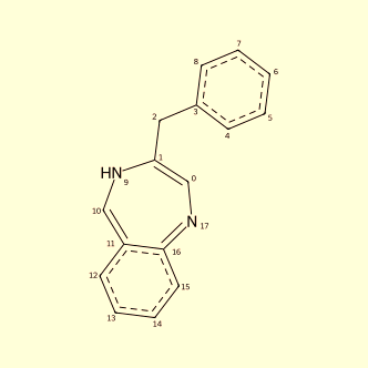 C1=C(Cc2ccccc2)NC=c2ccccc2=N1